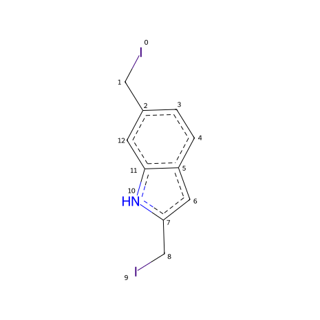 ICc1ccc2cc(CI)[nH]c2c1